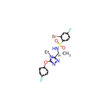 CCn1c(Oc2ccc(F)cc2)nnc1[C@@H](C)NS(=O)(=O)c1ccc(F)cc1Br